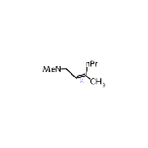 CCC/C(C)=C\CNC